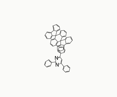 c1ccc(-c2cc(-c3cccc(-c4cccc5c4C4(c6ccccc6-c6ccccc64)c4ccccc4C54c5ccccc5-c5ccccc54)c3)nc(-c3ccccc3)n2)cc1